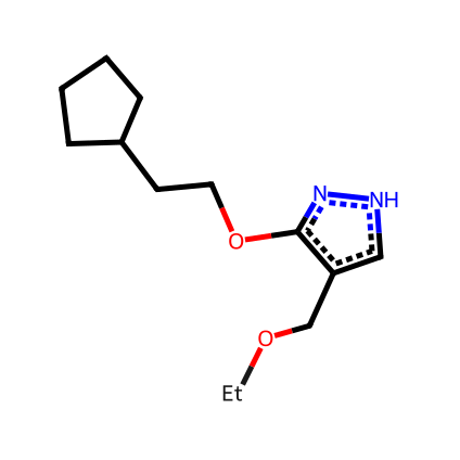 CCOCc1c[nH]nc1OCCC1CCCC1